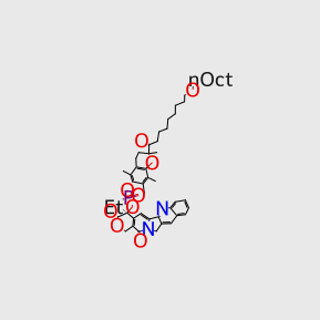 CCCCCCCCOCCCCCCCCC(=O)C1(C)CCc2c(C)c(OP(C)(=O)O[C@]3(CC)C(=O)OCc4c3cc3n(c4=O)Cc4cc5ccccc5nc4-3)c(C)c(C)c2O1